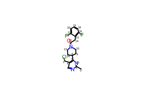 Cc1ncc(CCl)c(C2CCN(C(=O)Cc3c(F)cccc3F)CC2)n1